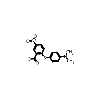 CN(C)c1ccc(Sc2ccc([N+](=O)[O-])cc2C(=O)O)cc1